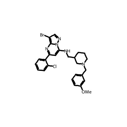 COc1cccc(CN2CCCC(CNc3cc(-c4ccccc4Cl)nc4c(Br)cnn34)C2)c1